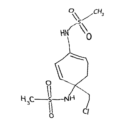 CS(=O)(=O)NC1=CCC(CCl)(NS(C)(=O)=O)C=C1